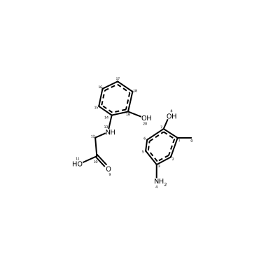 Cc1cc(N)ccc1O.O=C(O)CNc1ccccc1O